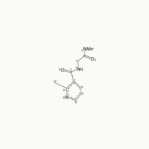 CNC(=O)CNC(=O)c1cccnc1C